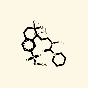 CNS(=O)(=O)c1ccc2c(c1)[C@](C)(CCN(C)C(=O)N1CCCCC1)C(C)(C)CC2